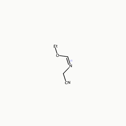 CCO/C=N\CC#N